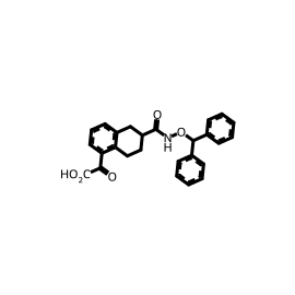 O=C(O)C(=O)c1cccc2c1CCC(C(=O)NOC(c1ccccc1)c1ccccc1)C2